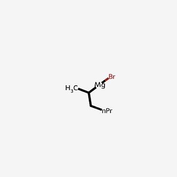 CCCC[CH](C)[Mg][Br]